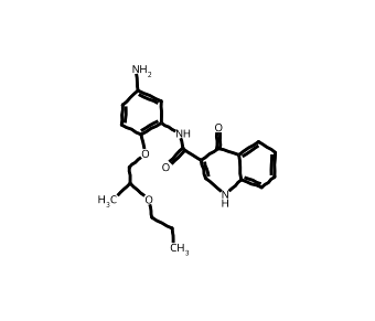 CCCOC(C)COc1ccc(N)cc1NC(=O)c1c[nH]c2ccccc2c1=O